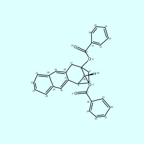 O=C(O[C@@H]1C2CCC1(OC(=O)c1ccccc1)Cc1cc3ccccc3cc12)c1ccccc1